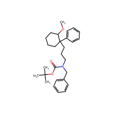 COC1CCCCC1(CCCN(Cc1ccccc1)C(=O)OC(C)(C)C)c1ccccc1